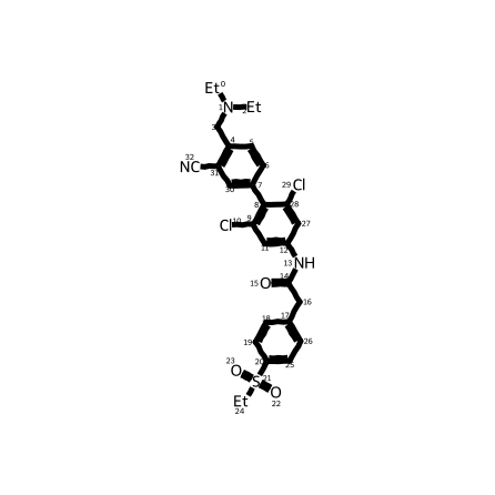 CCN(CC)Cc1ccc(-c2c(Cl)cc(NC(=O)Cc3ccc(S(=O)(=O)CC)cc3)cc2Cl)cc1C#N